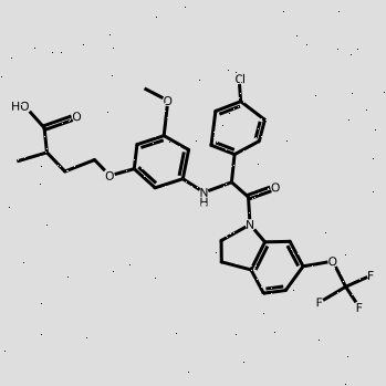 COc1cc(NC(C(=O)N2CCc3ccc(OC(F)(F)F)cc32)c2ccc(Cl)cc2)cc(OCCC(C)C(=O)O)c1